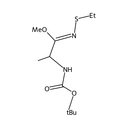 CCS/N=C(\OC)C(C)NC(=O)OC(C)(C)C